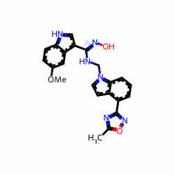 COc1ccc2[nH]cc(/C(=N/O)NCn3ccc4c(-c5noc(C)n5)cccc43)c2c1